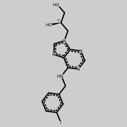 OC[C@H](O)Cn1cnc2c(NCc3cccc(I)c3)ncnc21